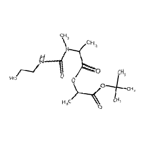 CC(OC(=O)C(C)N(C)C(=O)NCCO)C(=O)OC(C)(C)C